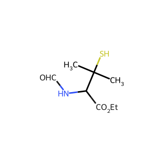 CCOC(=O)C(NC=O)C(C)(C)S